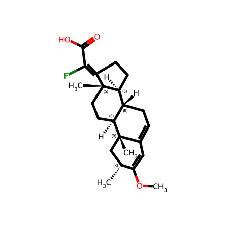 COC1=CC2=CC[C@@H]3[C@H](CC[C@]4(C)C(=C(F)C(=O)O)CC[C@@H]34)[C@@]2(C)C[C@H]1C